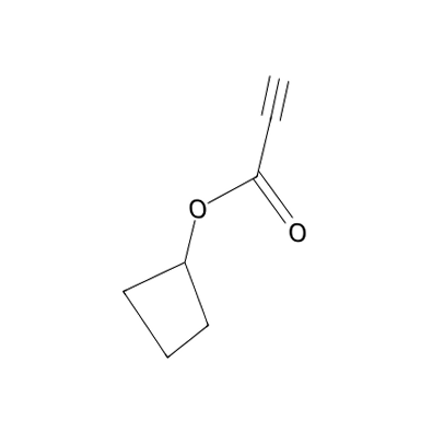 C#CC(=O)OC1CCC1